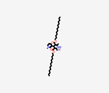 CCCCCCCCCCCCCCOC(=O)C1=C(C)NC(C)=C(C(=O)OCCCCCCCCCCCCCC)C1c1ccc[n+](C)c1.I.[I-]